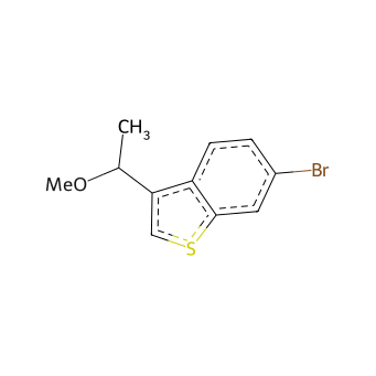 COC(C)c1csc2cc(Br)ccc12